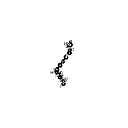 O=C1CCC(N2Cc3cc(N4CCC(C5CN(c6ccc(-c7cnc8[nH]cc(C(=O)c9c(F)ccc(NS(=O)(=O)N%10CC[C@@H](F)C%10)c9F)c8c7)cc6)C5)CC4)ccc3C2=O)C(=O)N1